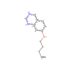 CSCCCOc1ccc2cncnc2c1